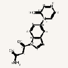 NC(=O)CC(=O)n1ccc2cc(-n3ccncc3=O)ccc21